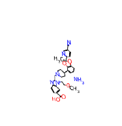 COCCn1c(CN2CCC(c3cccc4c3OC(C)(c3ccc(C#N)cn3)O4)CC2)nc2ccc(C(=O)O)cc21.N